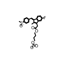 CC1=C(CC(=O)OCCCCO[N+](=O)[O-])c2cc(F)ccc2C1=Cc1ccc([S+](C)[O-])cc1